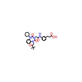 CC(C)(C)C(=O)CN1C(=O)N(CC(=O)Nc2cccc(CCC(=O)O)c2)C(=O)N(C2CCCCC2)c2ccccc21